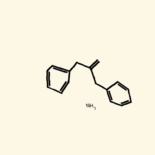 C=C(Cc1ccccc1)Cc1ccccc1.N